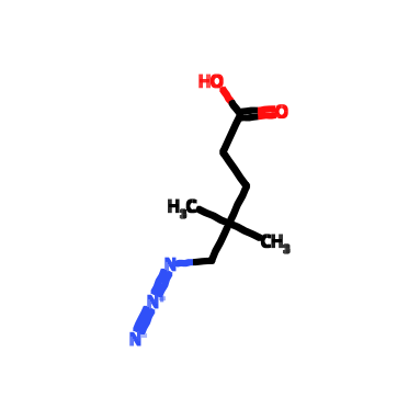 CC(C)(CCC(=O)O)CN=[N+]=[N-]